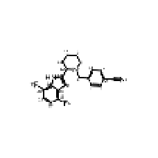 N#Cc1ccc(CN2CCCCC2c2cc3c(F)ccc(F)c3[nH]2)cc1